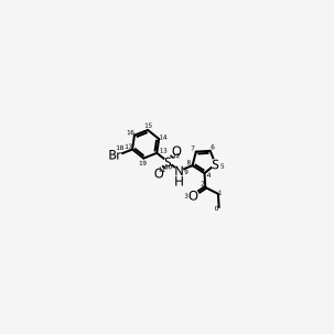 CCC(=O)c1sccc1NS(=O)(=O)c1cccc(Br)c1